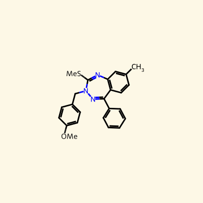 COc1ccc(CN2N=C(c3ccccc3)c3ccc(C)cc3N=C2SC)cc1